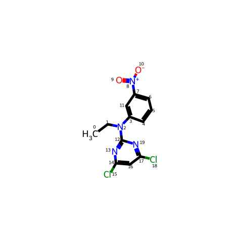 CCN(c1cccc([N+](=O)[O-])c1)c1nc(Cl)cc(Cl)n1